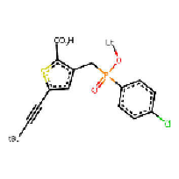 CCOP(=O)(Cc1cc(C#CC(C)(C)C)sc1C(=O)O)c1ccc(Cl)cc1